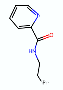 C[C](C)CCNC(=O)c1ccccn1